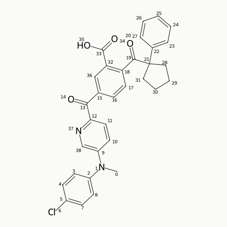 CN(c1ccc(Cl)cc1)c1ccc(C(=O)c2ccc(C(=O)C3(c4ccccc4)CCCC3)c(C(=O)O)c2)nc1